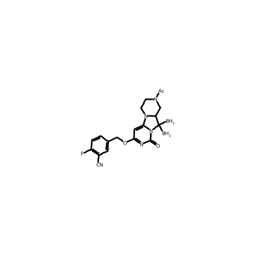 BC1(B)C2CN(C(C)=O)CCN2c2cc(OCc3ccc(F)c(C#N)c3)nc(=O)n21